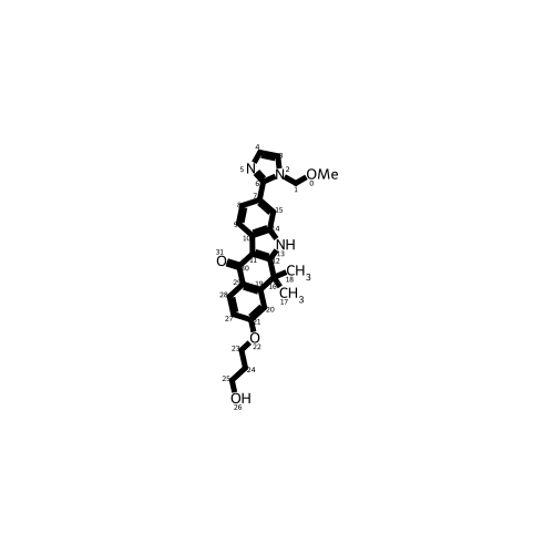 COCn1ccnc1-c1ccc2c3c([nH]c2c1)C(C)(C)c1cc(OCCCO)ccc1C3=O